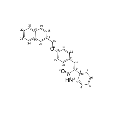 O=C1Nc2ccccc2C1=Cc1ccc(OCc2ccc3ccccc3c2)cc1